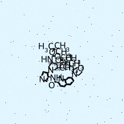 C[C@H]1CN(c2ccncc2NC(=O)c2[c]cc3ccc(N4CCOCC4)cc3n2)C[C@@H](NC(=O)OC(C)(C)C)[C@@H]1O[Si](C)(C)C(C)(C)C